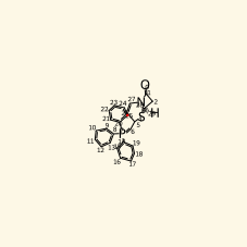 O=C1C[C@H]2SC(C=P(c3ccccc3)(c3ccccc3)c3ccccc3)C=CN12